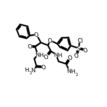 NC(=O)CNC(=O)C(Oc1ccccc1)C(Oc1ccc(S(=O)(=O)Cl)cc1)C(=O)NCC(N)=O